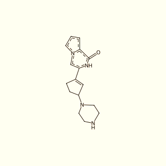 O=c1[nH]c(C2=CC(N3CCNCC3)CC2)cn2cccc12